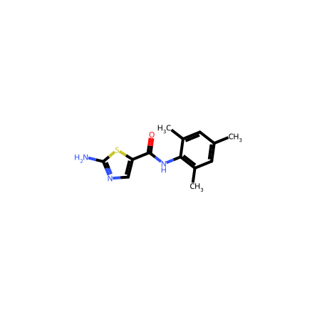 Cc1cc(C)c(NC(=O)c2cnc(N)s2)c(C)c1